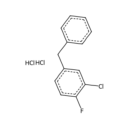 Cl.Cl.Fc1ccc(Cc2ccccc2)cc1Cl